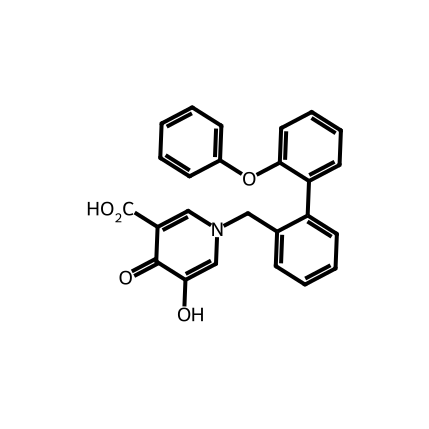 O=C(O)c1cn(Cc2ccccc2-c2ccccc2Oc2ccccc2)cc(O)c1=O